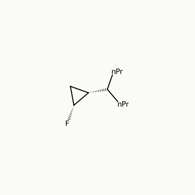 CCCC(CCC)[C@H]1C[C@H]1F